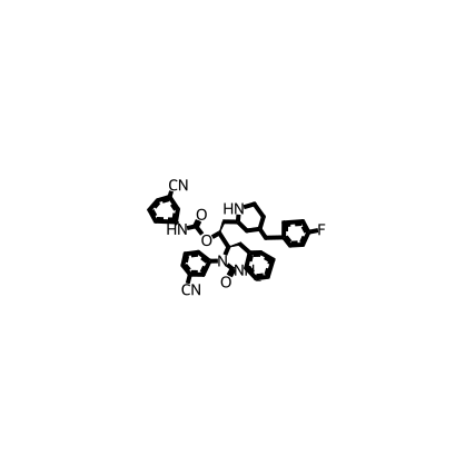 N#Cc1cccc(NC(=O)O[C@@H](CC2CC(Cc3ccc(F)cc3)CCN2)[C@@H](Cc2ccccc2)N(C(N)=O)c2cccc(C#N)c2)c1